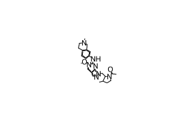 COc1cc2c(cc1Nc1ncc3cnn(CC4C(C)CCN4C(C)=O)c3n1)CN(C)CC2